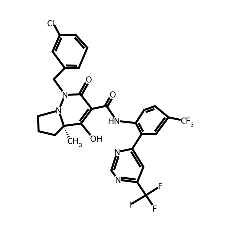 C[C@]12CCCN1N(Cc1cccc(Cl)c1)C(=O)C(C(=O)Nc1ccc(C(F)(F)F)cc1-c1cc(C(F)(F)I)ncn1)=C2O